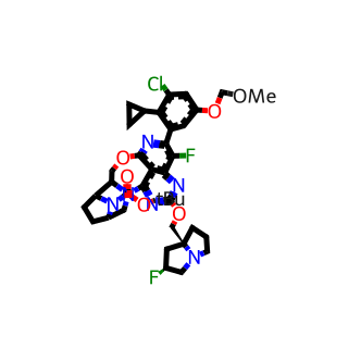 COCOc1cc(Cl)c(C2CC2)c(-c2nc3c4c(nc(OC[C@@]56CCCN5C[C@@H](F)C6)nc4c2F)N2CC4CCC(C2CO3)N4C(=O)OC(C)(C)C)c1